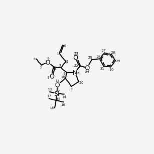 C=CCC(C(=O)OCC)C1C(O[Si](C)(C)C(C)(C)C)CCN1C(=O)OCc1ccccc1